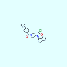 O=C(c1ccc(C(F)(F)F)cc1)N1CCC(N(C(=O)CCl)c2cccc3ccccc23)CC1